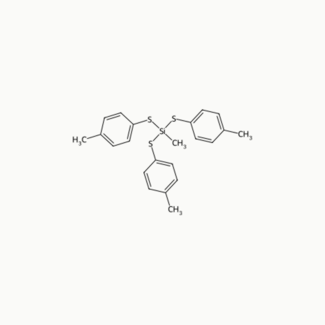 Cc1ccc(S[Si](C)(Sc2ccc(C)cc2)Sc2ccc(C)cc2)cc1